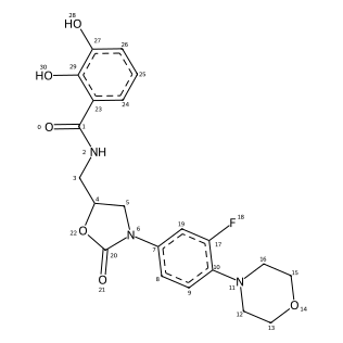 O=C(NCC1CN(c2ccc(N3CCOCC3)c(F)c2)C(=O)O1)c1cccc(O)c1O